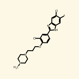 CN1CCN(CCCOc2ccc(-c3nc4cc(Cl)c(F)cc4[nH]3)cc2Cl)CC1